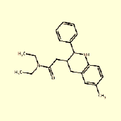 CCN(CC)C(=O)CC1Cc2cc(C)ccc2NC1c1ccccc1